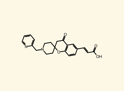 O=C(O)/C=C/c1ccc2c(c1)C(=O)CC1(CCN(Cc3ccccn3)CC1)O2